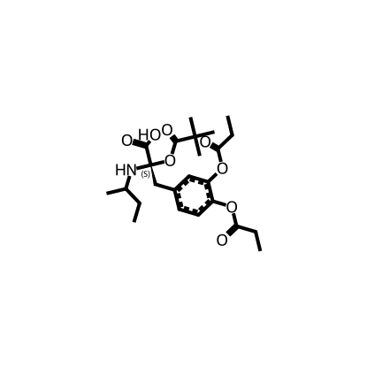 CCC(=O)Oc1ccc(C[C@](NC(C)CC)(OC(=O)C(C)(C)C)C(=O)O)cc1OC(=O)CC